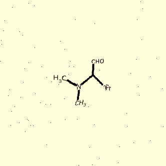 [CH2]CCC(C=O)N(C)C